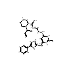 C=CC(=O)N1CCOC[C@H]1C(=O)NCCOc1cc(Nc2ncc(-c3ccccc3)s2)nc(C)n1